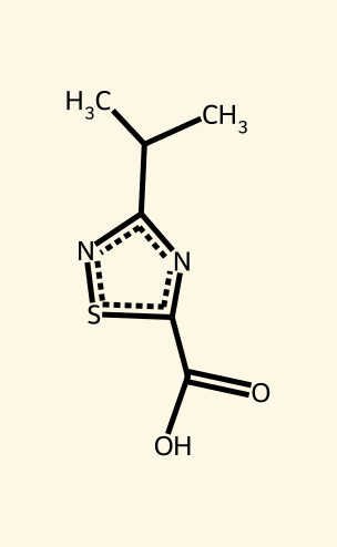 CC(C)c1nsc(C(=O)O)n1